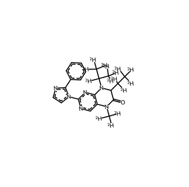 [2H]C([2H])([2H])N1C(=O)C(C([2H])([2H])C([2H])([2H])[2H])N(C([2H])(C([2H])([2H])[2H])C([2H])([2H])[2H])c2nc(-n3ccnc3-c3ccccc3)ncc21